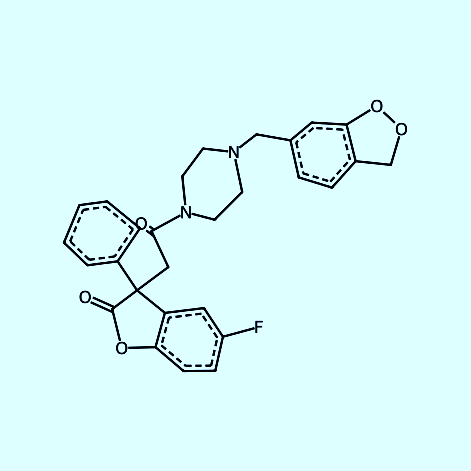 O=C(CC1(c2ccccc2)C(=O)Oc2ccc(F)cc21)N1CCN(Cc2ccc3c(c2)OOC3)CC1